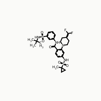 CC(C)(C)NS(=O)(=O)c1cccc(NC(=O)c2ccc(NS(=O)(=O)C3(C)CC3)cc2N2CCC(=C(F)F)CC2)c1